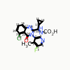 Cc1c(F)cncc1-n1c(C(NC(=O)O)C2CC2)nc2cccc(Cl)c2c1=O